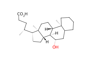 C[C@H](CCC(=O)O)[C@H]1CC[C@H]2[C@@H]3[C@@H](O)CC4CCCC[C@]4(C)[C@H]3CC[C@]12C